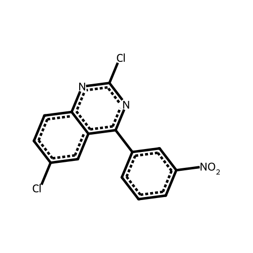 O=[N+]([O-])c1cccc(-c2nc(Cl)nc3ccc(Cl)cc23)c1